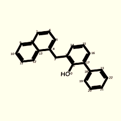 Oc1c(Cc2cccc3ccccc23)cccc1-c1ccccc1